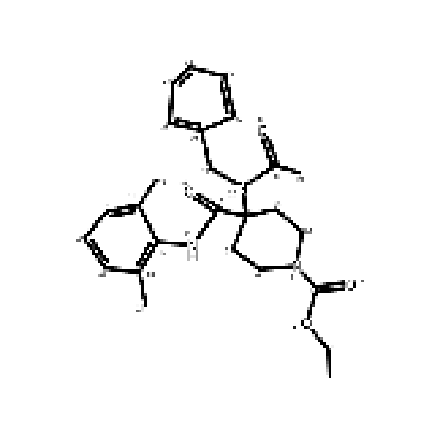 CCOC(=O)N1CCC(C(=O)Nc2c(C)cccc2C)(N(Cc2ccccc2)C(C)=O)CC1